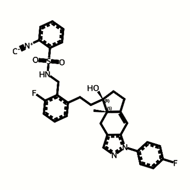 [C-]#[N+]c1ccccc1S(=O)(=O)NCc1c(F)cccc1CC[C@]1(O)CCC2=Cc3c(cnn3-c3ccc(F)cc3)C[C@@]21C